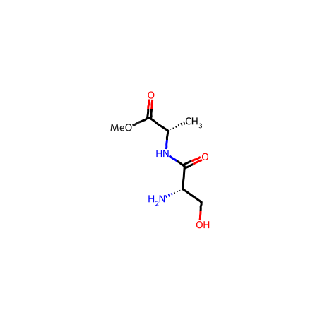 COC(=O)[C@H](C)NC(=O)[C@@H](N)CO